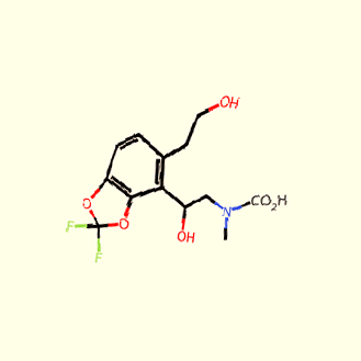 CN(CC(O)c1c(CCO)ccc2c1OC(F)(F)O2)C(=O)O